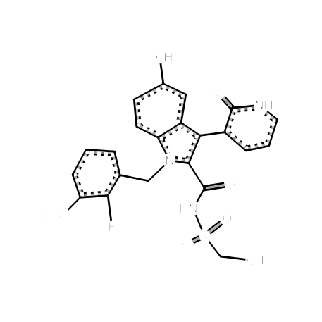 CCS(=O)(=O)NC(=O)c1c(-c2ccc[nH]c2=O)c2cc(C)ccc2n1Cc1cccc(C)c1F